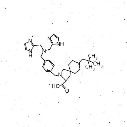 CC(C)(C)CN1CCC2(CC1)CC(C(=O)O)N(Cc1ccc(CN(Cc3ncc[nH]3)Cc3ncc[nH]3)cc1)C2